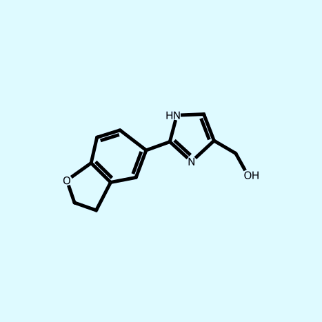 OCc1c[nH]c(-c2ccc3c(c2)CCO3)n1